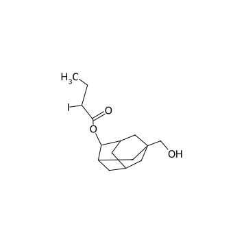 CCC(I)C(=O)OC1C2CC3CC1CC(CO)(C3)C2